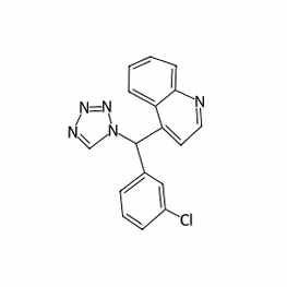 Clc1cccc(C(c2ccnc3ccccc23)n2cnnn2)c1